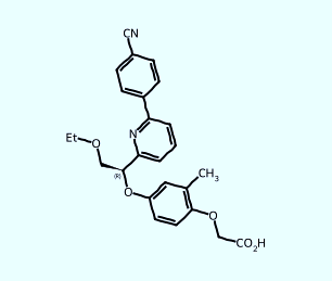 CCOC[C@H](Oc1ccc(OCC(=O)O)c(C)c1)c1cccc(-c2ccc(C#N)cc2)n1